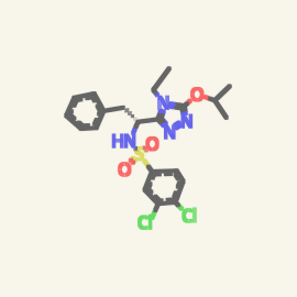 CCn1c(OC(C)C)nnc1[C@@H](Cc1ccccc1)NS(=O)(=O)c1ccc(Cl)c(Cl)c1